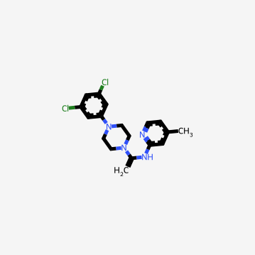 C=C(Nc1cc(C)ccn1)N1CCN(c2cc(Cl)cc(Cl)c2)CC1